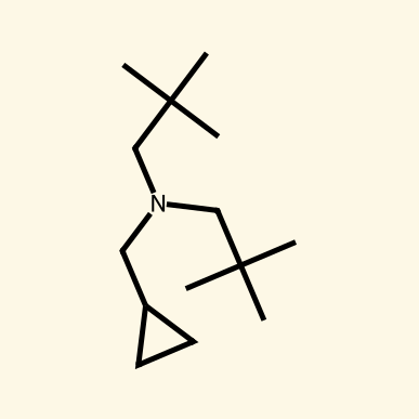 CC(C)(C)CN(CC1CC1)CC(C)(C)C